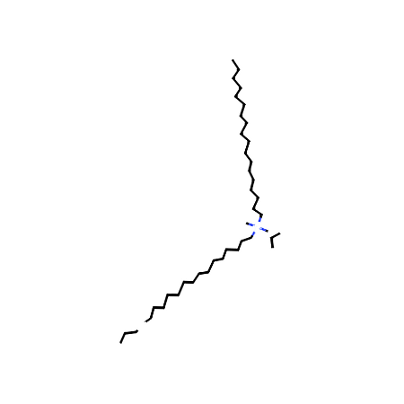 CCC.CCCCCCCCCCCCCCCCCCC[N+](C)(C)CCCCCCCCCCCCCCCCCC